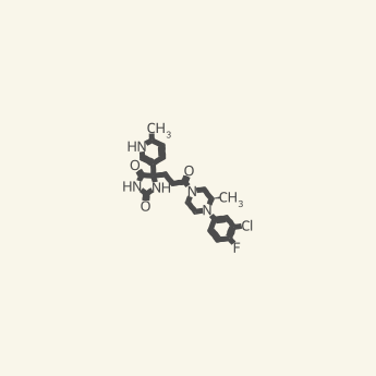 CC1C=CC(C2(CCC(=O)N3CCN(c4ccc(F)c(Cl)c4)[C@@H](C)C3)NC(=O)NC2=O)=CN1